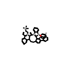 C=CC1=[N+](CC[Si](C)(C)C)C2C(=C)[n+]3c(n(-c4ccccc4)c4ccccc43)-c3c(ccc4c3sc3c(F)cccc34)CCC2c2ccccc21